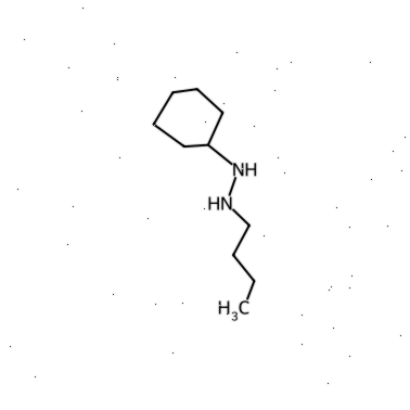 CCCCNNC1CCCCC1